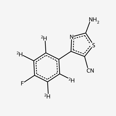 [2H]c1c([2H])c(-c2nc(N)sc2C#N)c([2H])c([2H])c1F